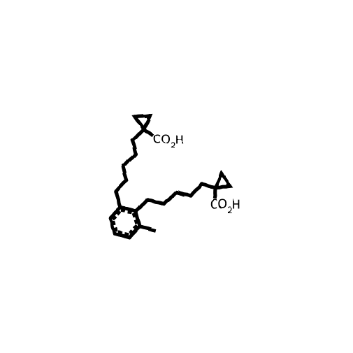 Cc1cccc(CCCCCC2(C(=O)O)CC2)c1CCCCCC1(C(=O)O)CC1